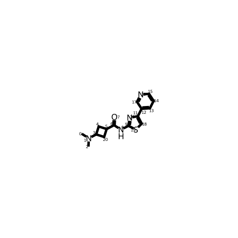 CN(C)C1CC(C(=O)Nc2nc(-c3cccnc3)cs2)C1